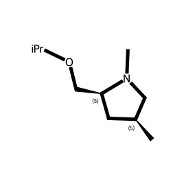 CC(C)OC[C@@H]1C[C@H](C)CN1C